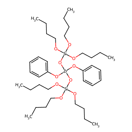 CCCCO[Si](OCCCC)(OCCCC)[O][Zr]([O]c1ccccc1)([O]c1ccccc1)[O][Si](OCCCC)(OCCCC)OCCCC